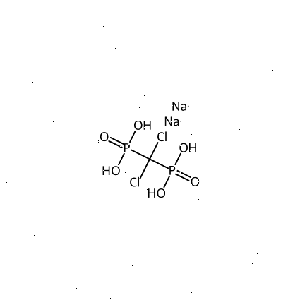 O=P(O)(O)C(Cl)(Cl)P(=O)(O)O.[Na].[Na]